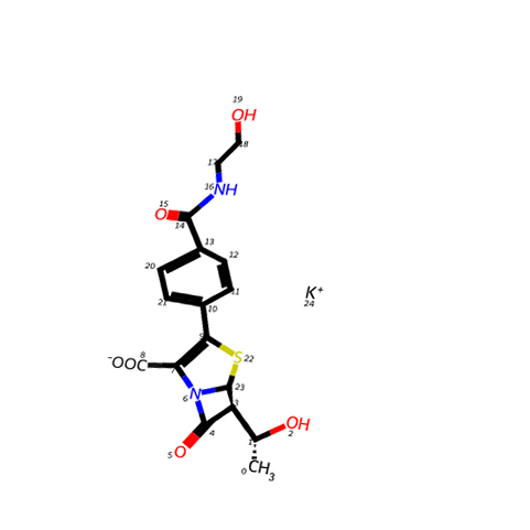 C[C@@H](O)[C@H]1C(=O)N2C(C(=O)[O-])=C(c3ccc(C(=O)NCCO)cc3)SC12.[K+]